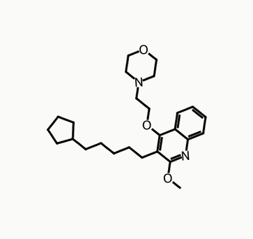 COc1nc2ccccc2c(OCCN2CCOCC2)c1CCCCCC1CCCC1